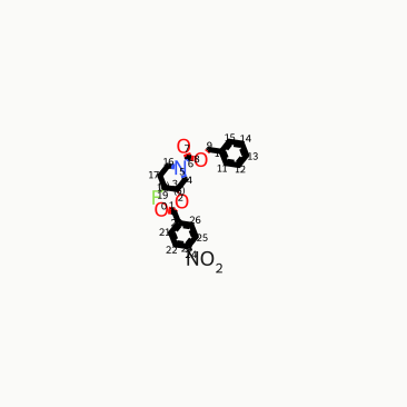 O=C(O[C@H]1CN(C(=O)OCc2ccccc2)CC[C@H]1F)c1ccc([N+](=O)[O-])cc1